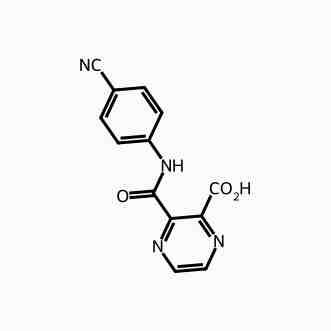 N#Cc1ccc(NC(=O)c2nccnc2C(=O)O)cc1